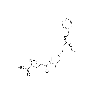 CCOP(CCSCC(C)NC(=O)CCC(N)C(=O)O)SCc1ccccc1